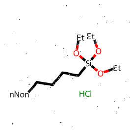 CCCCCCCCCCCCC[Si](OCC)(OCC)OCC.Cl